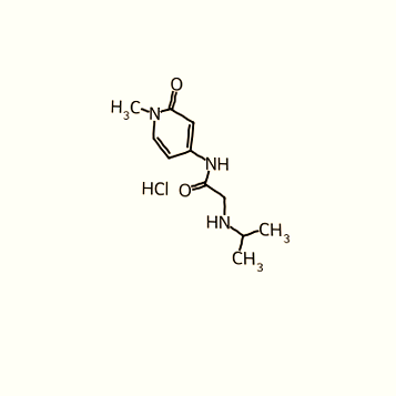 CC(C)NCC(=O)Nc1ccn(C)c(=O)c1.Cl